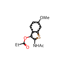 CCC(=O)Oc1c(NC(C)=O)sc2cc(OC)ccc12